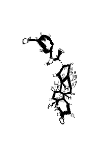 CC(Oc1cccc(Cl)c1)[C@H]1C[C@H]2[C@@H]3[C@@H](C)C[C@H]4SC(=O)C=C[C@]4(C)[C@H]3CC[C@]2(C)C1